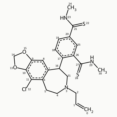 C=CCN1CCc2c(cc3c(c2Cl)OCO3)C(c2ccc(C(=S)NC)cc2C(=S)NC)C1